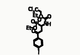 CCOP(=O)(OCC)C(CC(=O)c1ccc(I)cc1)NC(=O)OCC(Cl)(Cl)Cl